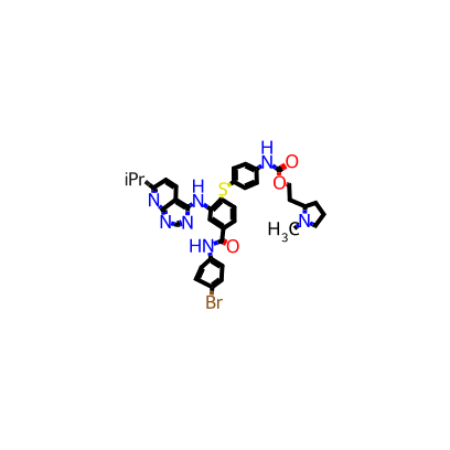 CC(C)c1ccc2c(Nc3cc(C(=O)Nc4ccc(Br)cc4)ccc3Sc3ccc(NC(=O)OCCC4CCCN4C)cc3)ncnc2n1